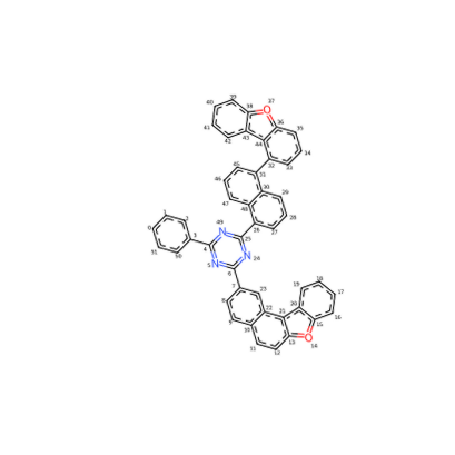 c1ccc(-c2nc(-c3ccc4ccc5oc6ccccc6c5c4c3)nc(-c3cccc4c(-c5cccc6oc7ccccc7c56)cccc34)n2)cc1